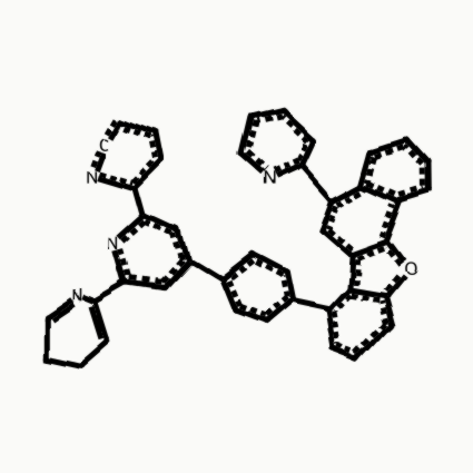 C1=NC(c2cc(-c3ccc(-c4cccc5oc6c7ccccc7c(-c7ccccn7)cc6c45)cc3)cc(-c3ccccn3)n2)=CCC1